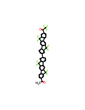 CC(=O)c1ccc2c(c1)C(F)(F)c1cc3c(cc1-2)C(F)(F)c1cc(-c2ccc4c(c2)C(F)(F)c2cc5c(cc2-4)C(F)(F)c2cc(C(=O)C(F)(F)F)ccc2-5)ccc1-3